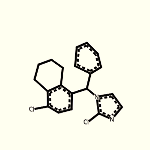 Clc1ccc(C(c2ccccc2)n2ccnc2Cl)c2c1CCCC2